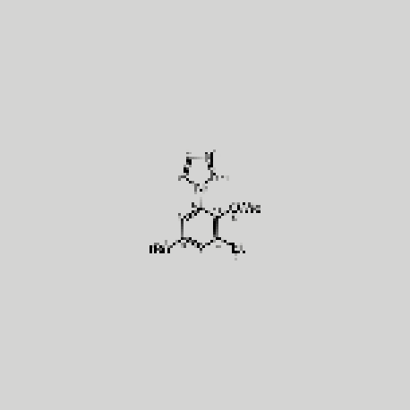 CCc1cc(C(C)(C)C)cc(-n2ccnn2)c1OC